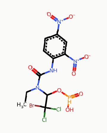 CCN(C(=O)Nc1ccc([N+](=O)[O-])cc1[N+](=O)[O-])C(O[PH](=O)O)C(Cl)(Cl)Br